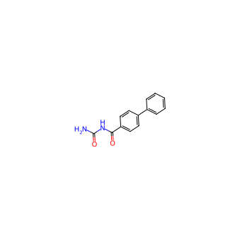 NC(=O)NC(=O)c1ccc(-c2ccccc2)cc1